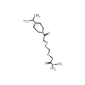 CC(C)C(=O)COCCOCC(=O)N1CCN(C(C)C)CC1